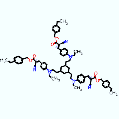 C=Cc1ccc(COC(=O)/C(C#N)=C/c2ccc(N(CC)CCC3CC(CCN(CC)c4ccc(/C=C(\C#N)C(=O)OCc5ccc(C=C)cc5)cc4)CC(CCN(CC)c4ccc(/C=C(\C#N)C(=O)OCc5ccc(C=C)cc5)cc4)C3)cc2)cc1